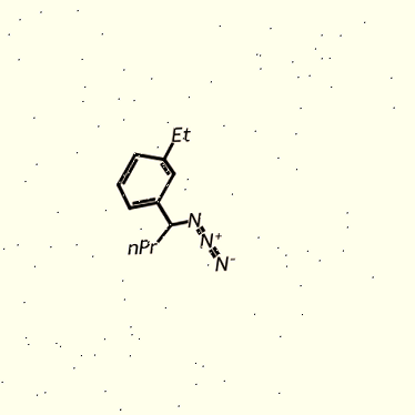 CCCC(N=[N+]=[N-])c1cccc(CC)c1